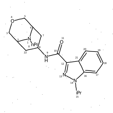 CCCN1C2COCC1CC(NC(=O)c1nn(C(C)C)c3ccccc13)C2